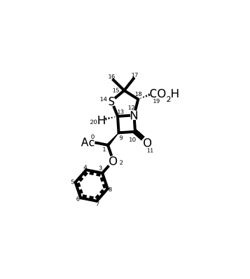 CC(=O)C(Oc1ccccc1)[C@@H]1C(=O)N2[C@@H]1SC(C)(C)[C@@H]2C(=O)O